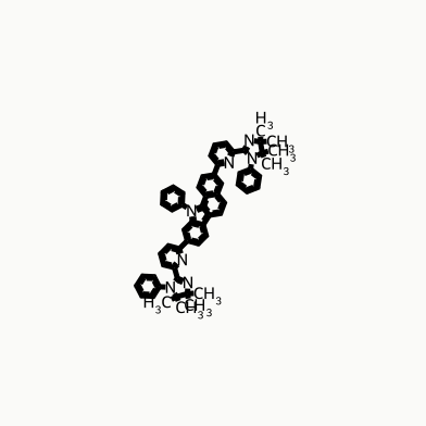 CC1(C)N=C(c2cccc(-c3ccc4c(ccc5c6ccc(-c7cccc(C8=NC(C)(C)C(C)(C)N8c8ccccc8)n7)cc6n(-c6ccccc6)c45)c3)n2)N(c2ccccc2)C1(C)C